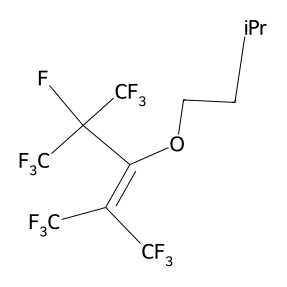 CC(C)CCOC(=C(C(F)(F)F)C(F)(F)F)C(F)(C(F)(F)F)C(F)(F)F